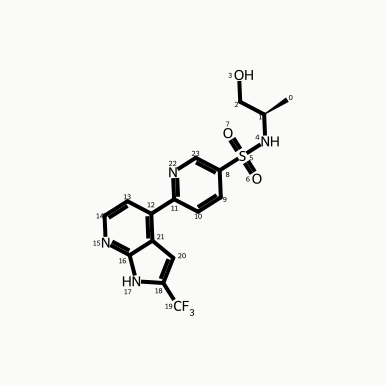 C[C@H](CO)NS(=O)(=O)c1ccc(-c2ccnc3[nH]c(C(F)(F)F)cc23)nc1